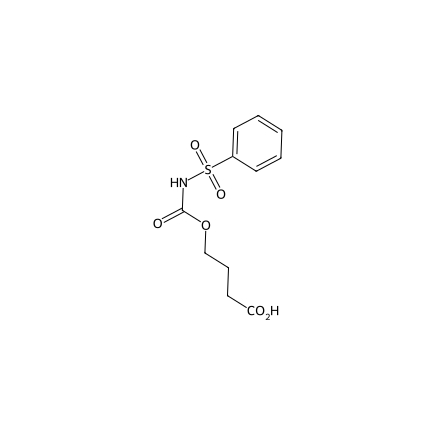 O=C(O)CCCOC(=O)NS(=O)(=O)c1ccccc1